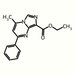 CCOC(=O)c1ncn2c(C)cc(-c3ccccc3)nc12